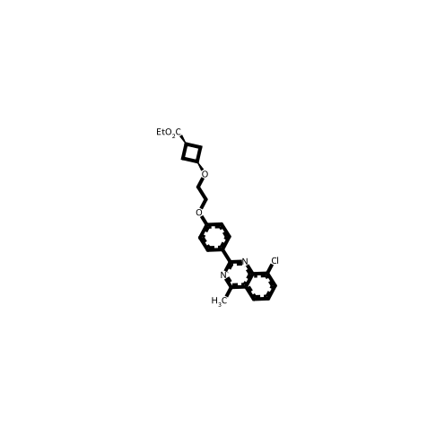 CCOC(=O)[C@H]1C[C@@H](OCCOc2ccc(-c3nc(C)c4cccc(Cl)c4n3)cc2)C1